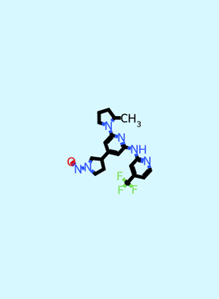 CC1CCCN1c1cc(C2CCN(N=O)C2)cc(Nc2cc(C(F)(F)F)ccn2)n1